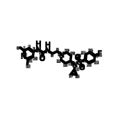 Cc1cc(NC(=O)NCCN2CCC(N(C3CC3)S(=O)(=O)c3ccc(F)cc3)CC2)cc(C)n1